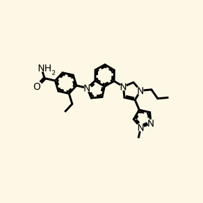 CCCN1CN(c2cccc3c2ccn3-c2ccc(C(N)=O)cc2CC)C=C1c1cnn(C)c1